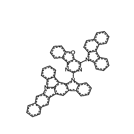 c1ccc2cc3c(cc2c1)c1cc2c4ccccc4n(-c4nc(-n5c6ccccc6c6c7ccccc7ccc65)c5oc6ccccc6c5n4)c2c2c4ccccc4n3c12